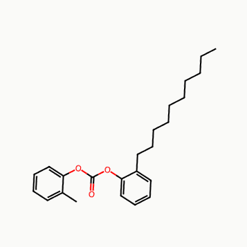 CCCCCCCCCCc1ccccc1OC(=O)Oc1ccccc1C